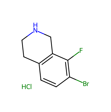 Cl.Fc1c(Br)ccc2c1CNCC2